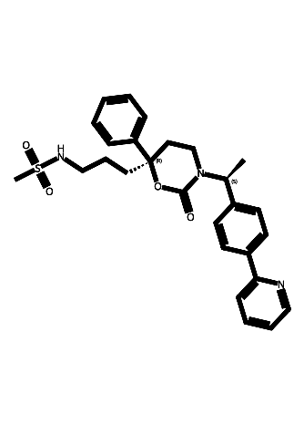 C[C@@H](c1ccc(-c2ccccn2)cc1)N1CC[C@](CCCNS(C)(=O)=O)(c2ccccc2)OC1=O